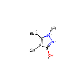 CCCCc1c(C(C)(C)C)c(O)nn1CCC